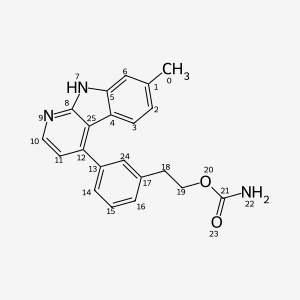 Cc1ccc2c(c1)[nH]c1nccc(-c3cccc(CCOC(N)=O)c3)c12